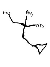 CCCC(N)(CO)CC1CC1